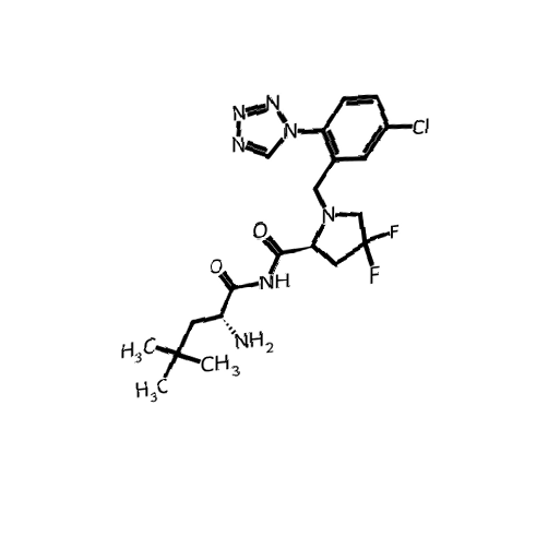 CC(C)(C)C[C@@H](N)C(=O)NC(=O)[C@@H]1CC(F)(F)CN1Cc1cc(Cl)ccc1-n1cnnn1